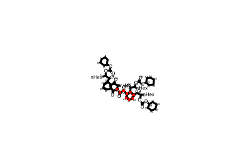 CCCCCCC(OC(=O)OC1CCCCC1)C(=O)c1cccc(C(=O)OOC(=O)c2cccc(C(=O)C(CCCCCC)OC(=O)OC3CCCCC3)c2C(=O)C(CCCCCC)OC(=O)OC2CCCCC2)c1C(=O)C(CCCCCC)OC(=O)OC1CCCCC1